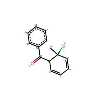 CC1(Cl)C=CC=CC1C(=O)c1ccccc1